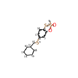 CS(=O)(=O)Sc1ccc(SCC2CCCCC2)cc1